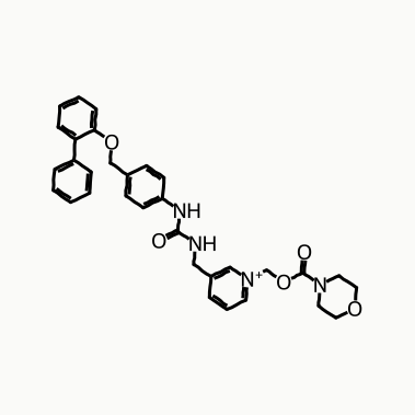 O=C(NCc1ccc[n+](COC(=O)N2CCOCC2)c1)Nc1ccc(COc2ccccc2-c2ccccc2)cc1